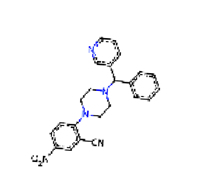 N#Cc1cc([N+](=O)[O-])ccc1N1CCN(C(c2ccccc2)c2cccnc2)CC1